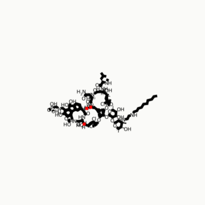 CCCCCCCCCCNCCN[C@@]1(C)CC(OC2C(Oc3c4cc5cc3Oc3ccc(cc3Cl)[C@@H](O)[C@@H](NC(=O)[C@@H](CC(C)C)NC)C(=O)N[C@@H](CC(N)=O)C(=O)N[C@H]5C(=O)N[C@H]3C(=O)N[C@H](C(=O)N[C@H](C(=O)O)c5cc(O)c(CNCP(=O)(O)O)c6c5-c5cc3ccc5C6(O)O)[C@H](O)c3ccc(c(Cl)c3)O4)O[C@H](CO)[C@@H](O)[C@@H]2O)O[C@@H](C)[C@H]1O